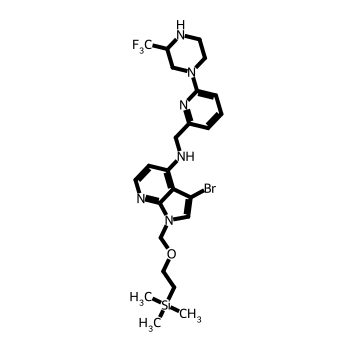 C[Si](C)(C)CCOCn1cc(Br)c2c(NCc3cccc(N4CCNC(C(F)(F)F)C4)n3)ccnc21